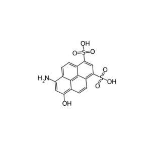 Nc1cc(O)c2ccc3c(S(=O)(=O)O)cc(S(=O)(=O)O)c4ccc1c2c43